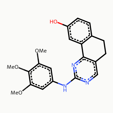 COc1cc(Nc2ncc3c(n2)-c2cc(O)ccc2CC3)cc(OC)c1OC